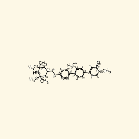 Cc1cc(-c2ccn(C)c(=O)c2)ccc1-c1ccc(CCC2CC(C)(C)NC(C)(C)C2)nn1